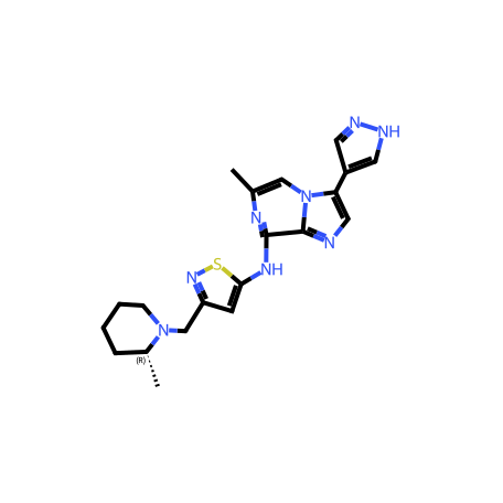 Cc1cn2c(-c3cn[nH]c3)cnc2c(Nc2cc(CN3CCCC[C@H]3C)ns2)n1